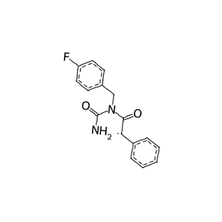 NC(=O)N(Cc1ccc(F)cc1)C(=O)[CH]c1ccccc1